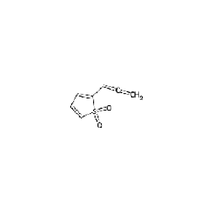 C=C=CC1=CC=CS1(=O)=O